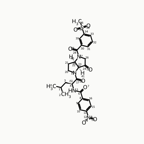 CC(C)C[C@H](NC(=O)c1ccc([N+](=O)[O-])cc1)C(=O)N1CC[C@@H]2[C@H]1C(=O)CN2C(=O)c1cccc(S(C)(=O)=O)c1